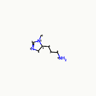 CN1C=NCC1CCCN